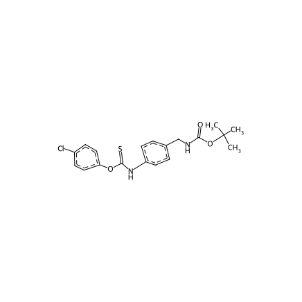 CC(C)(C)OC(=O)NCc1ccc(NC(=S)Oc2ccc(Cl)cc2)cc1